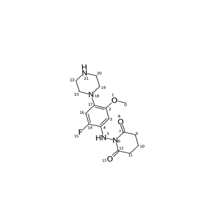 COc1cc(NN2C(=O)CCCC2=O)c(F)cc1N1CCNCC1